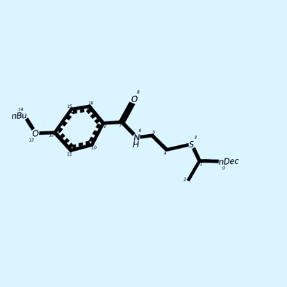 CCCCCCCCCCC(C)SCCNC(=O)c1ccc(OCCCC)cc1